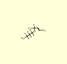 C/C=C/C(F)(OC(F)(F)C(F)(F)C(C)(F)F)C(F)(F)F